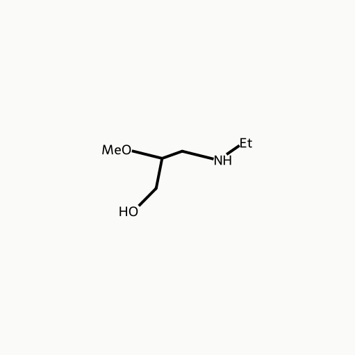 CCNCC(CO)OC